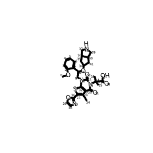 COc1ccccc1C(Cn1c(=O)n(C(C)(C)C(=O)O)c(=O)c2c(C)c(-c3ncco3)sc21)OC1CC2CNCC2C1